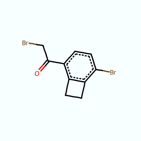 O=C(CBr)c1ccc(Br)c2c1CC2